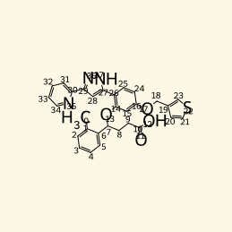 Cc1ccccc1C(CCC(=O)O)Oc1cc(OCc2ccsc2)ccc1-c1cc(-c2ccccn2)n[nH]1